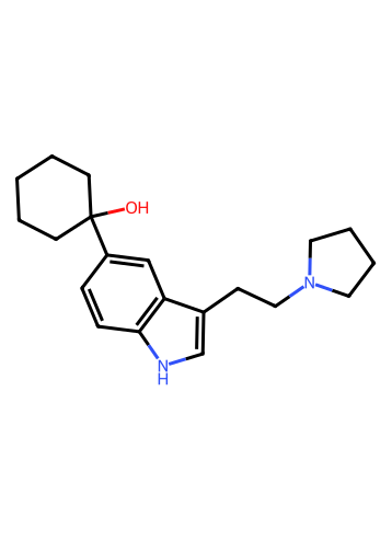 OC1(c2ccc3[nH]cc(CCN4CCCC4)c3c2)CCCCC1